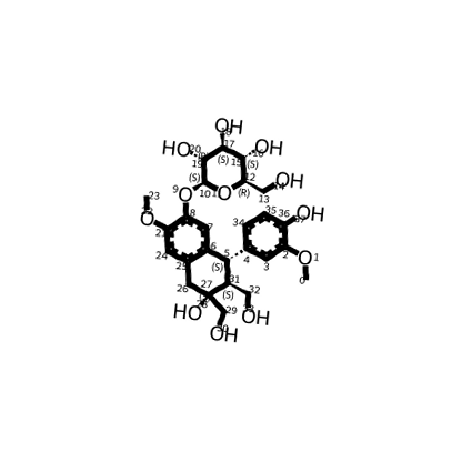 COc1cc([C@H]2c3cc(O[C@@H]4O[C@H](CO)[C@@H](O)[C@H](O)[C@H]4O)c(OC)cc3C[C@@](O)(CO)[C@@H]2CO)ccc1O